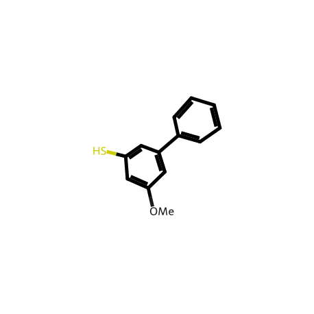 COc1cc(S)cc(-c2ccccc2)c1